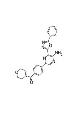 Nc1ncc(-c2ccc(C(=O)N3CCOCC3)cc2)nc1-c1nnc(-c2ccccc2)o1